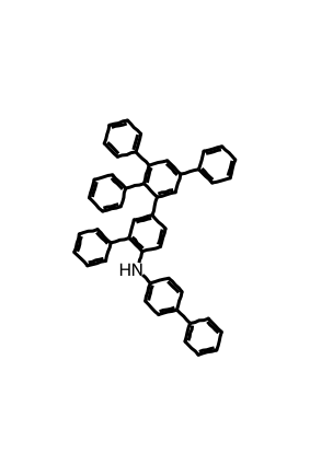 c1ccc(-c2ccc(Nc3ccc(-c4cc(-c5ccccc5)cc(-c5ccccc5)c4-c4ccccc4)cc3-c3ccccc3)cc2)cc1